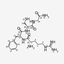 N=C(N)NCCC[C@H](N)C(=O)N[C@@H](Cc1ccccc1)C(=O)N[C@@H](CS)C(=O)NCC(N)=O